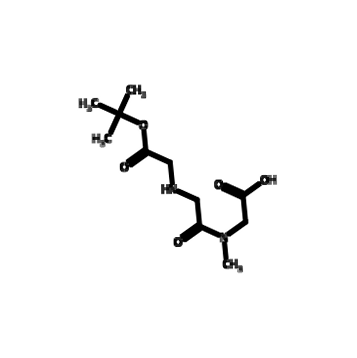 CN(CC(=O)O)C(=O)CNCC(=O)OC(C)(C)C